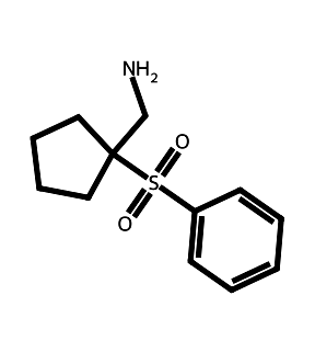 NCC1(S(=O)(=O)c2ccccc2)CCCC1